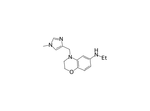 CCNc1ccc2c(c1)N(Cc1cn(C)cn1)CCO2